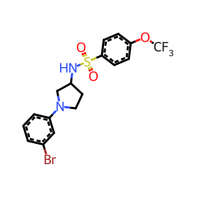 O=S(=O)(NC1CCN(c2cccc(Br)c2)C1)c1ccc(OC(F)(F)F)cc1